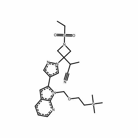 CCS(=O)(=O)N1CC(C(C)C#N)(n2cc(-c3cc4cccnc4n3COCC[Si](C)(C)C)cn2)C1